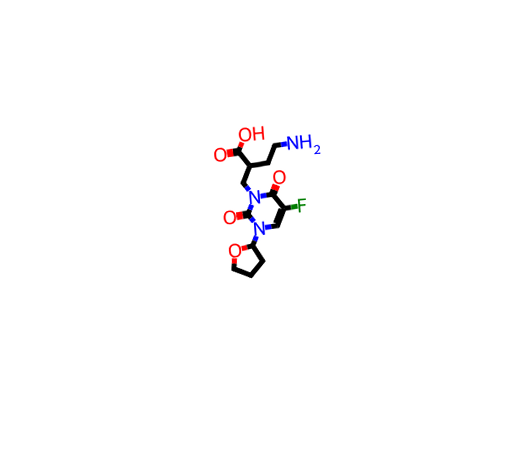 NCCC(Cn1c(=O)c(F)cn(C2CCCO2)c1=O)C(=O)O